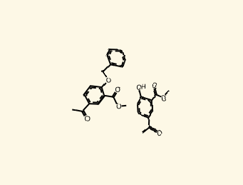 COC(=O)c1cc(C(C)=O)ccc1O.COC(=O)c1cc(C(C)=O)ccc1OCc1ccccc1